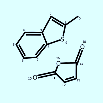 Cc1cc2ccccc2s1.O=C1C=CC(=O)O1